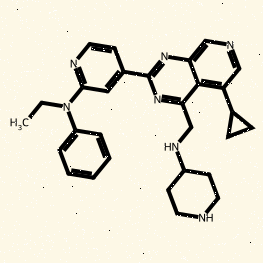 CCN(c1ccccc1)c1cc(-c2nc(CNC3CCNCC3)c3c(C4CC4)cncc3n2)ccn1